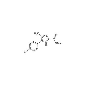 COC(=O)c1cc(C)c(-c2ccc(Cl)cc2)[nH]1